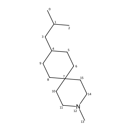 CC(C)CC1CCC2(CC1)CCN(C)CC2